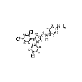 Nc1ccc(NC[C@H]2C[C@H](c3ccc(Cl)cc3)[C@@H](c3ccc(Cl)cc3Cl)C2)cc1